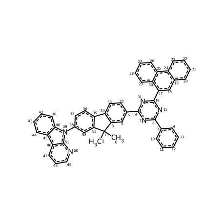 CC1(C)c2cc(-c3nc(-c4ccccc4)nc(-c4cc5ccccc5c5ccccc45)n3)ccc2-c2ccc(-n3c4ccccc4c4cccnc43)cc21